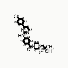 CC(C)(O)CN1CCN(C(=O)c2ccc(Nc3nccc(-c4ccc(Cl)cc4)n3)cc2)CC1